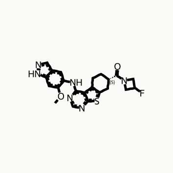 COc1cc2[nH]ncc2cc1Nc1ncnc2sc3c(c12)CC[C@H](C(=O)N1CC(F)C1)C3